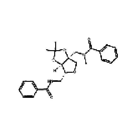 CN(C[C@]12CO[C@H](CNC(=O)c3ccccc3)[C@H]1OC(C)(C)O2)C(=O)c1ccccc1